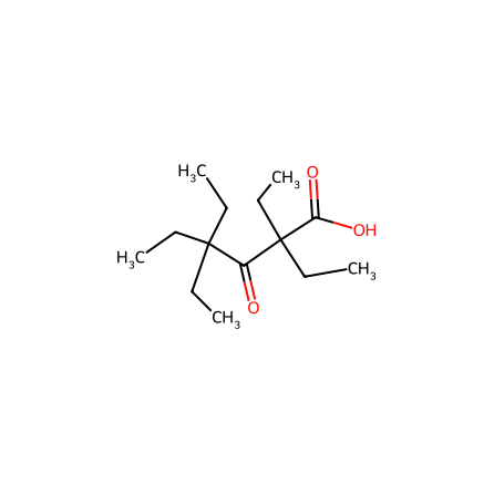 CCC(CC)(CC)C(=O)C(CC)(CC)C(=O)O